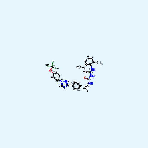 CCc1cccc(C)c1NC(=S)NC(=O)NC1CC1c1ccc(-c2ncn(-c3ccc(OC(F)(F)F)cc3)n2)cc1